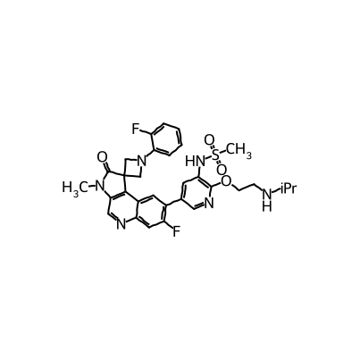 CC(C)NCCOc1ncc(-c2cc3c4c(cnc3cc2F)N(C)C(=O)C42CN(c3ccccc3F)C2)cc1NS(C)(=O)=O